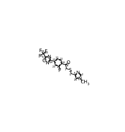 Cn1cnc(CSCC(=O)c2ccc(-c3noc(C(F)(F)F)n3)cc2F)c1